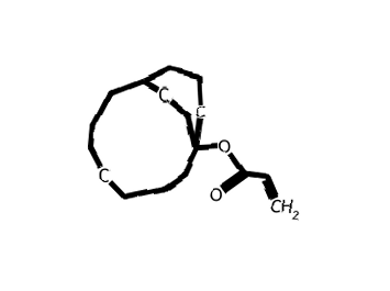 C=CC(=O)OC12CCCCCCCC(CCC1)CC2